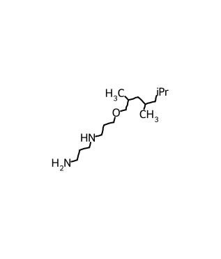 CC(C)CC(C)CC(C)COCCCNCCCN